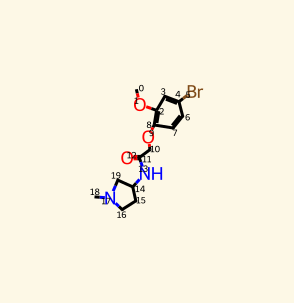 COc1cc(Br)ccc1OCC(=O)NC1CCN(C)C1